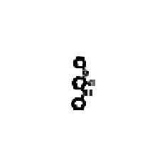 Clc1c(Nc2ccccc2)cccc1Oc1ccccc1